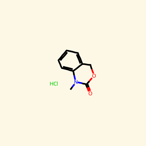 CN1C(=O)OCc2ccccc21.Cl